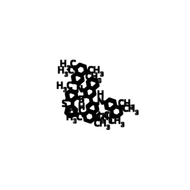 Cc1cc2c(cc1N1c3ccc4sc5ccccc5c4c3Bc3c(-c4cc5c(cc4Nc4ccc6c(c4)C(C)(C)CCC6(C)C)C(C)(C)CCC5(C)C)cc4ccccc4c31)C(C)(C)CCC2(C)C